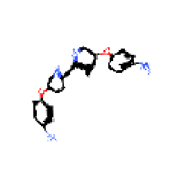 Nc1ccc(Oc2ccc(-c3ccc(Oc4ccc(N)cc4)cn3)nc2)cc1